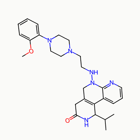 COc1ccccc1N1CCN(CCNN2CC3=C(c4cccnc42)C(C(C)C)NC(=O)C3)CC1